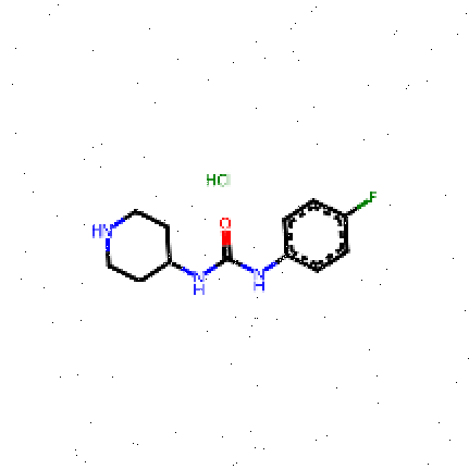 Cl.O=C(Nc1ccc(F)cc1)NC1CCNCC1